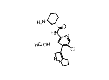 Cl.Cl.N[C@@H]1CCC[C@H](C(=O)Nc2cc(-c3cnn4c3CCC4)c(Cl)cn2)C1